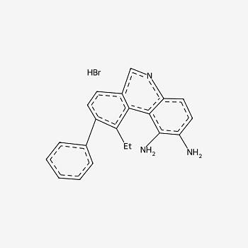 Br.CCc1c(-c2ccccc2)ccc2cnc3ccc(N)c(N)c3c12